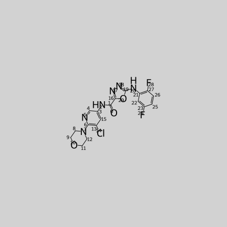 O=C(Nc1cnc(N2CCOCC2)c(Cl)c1)c1nnc(Nc2cc(F)ccc2F)o1